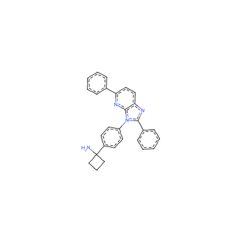 NC1(c2ccc(-n3c(-c4ccccc4)nc4ccc(-c5ccccc5)nc43)cc2)CCC1